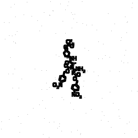 C[C@@H](C(=O)N[C@H]1CCN(OC(=O)C(F)(F)F)C1)N(C(=O)OCc1ccc([N+](=O)[O-])cc1)C(N)=NC(=O)OCc1ccc([N+](=O)[O-])cc1